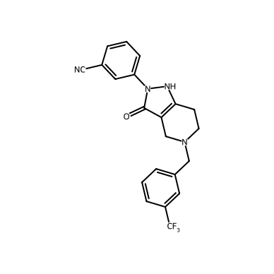 N#Cc1cccc(-n2[nH]c3c(c2=O)CN(Cc2cccc(C(F)(F)F)c2)CC3)c1